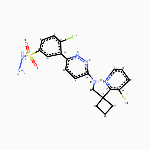 NNS(=O)(=O)c1ccc(F)c(-c2ccc(NCC3(c4ncccc4F)CCC3)nn2)c1